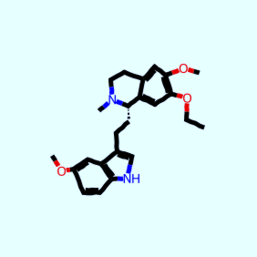 CCOc1cc2c(cc1OC)CCN(C)[C@H]2CCc1c[nH]c2ccc(OC)cc12